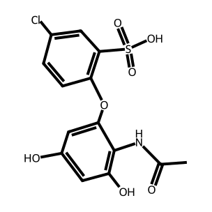 CC(=O)Nc1c(O)cc(O)cc1Oc1ccc(Cl)cc1S(=O)(=O)O